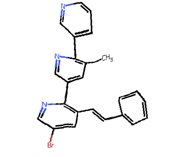 Cc1cc(-c2ncc(Br)cc2/C=C/c2ccccc2)cnc1-c1cccnc1